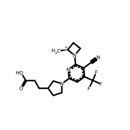 C[C@H]1CCN1c1nc(N2CCC(CCC(=O)O)C2)cc(C(F)(F)F)c1C#N